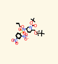 C=CCON(C1C=CC(CO[Si](C)(C)C(C)(C)C)N(C(=O)OC(C)(C)C)C1)S(=O)(=O)c1ccc([N+](=O)[O-])cc1[N+](=O)[O-]